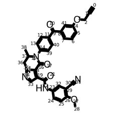 C#CCOc1cccc(C(=O)c2ccc(N3C(=O)c4c(C(=O)Nc5ccc(OC)c(C#N)c5)cnn4CC3C)cc2)c1